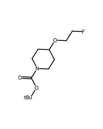 CC(C)(C)OC(=O)N1CCC(OCCF)CC1